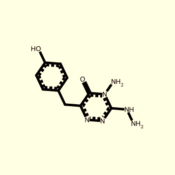 NNc1nnc(Cc2ccc(O)cc2)c(=O)n1N